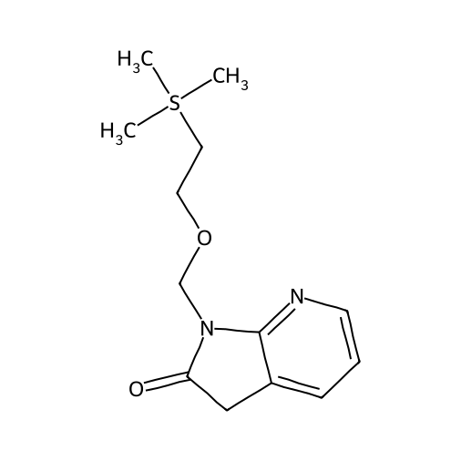 CS(C)(C)CCOCN1C(=O)Cc2cccnc21